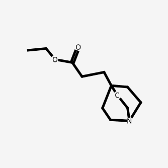 CCOC(=O)CCC12CCN(CC1)CC2